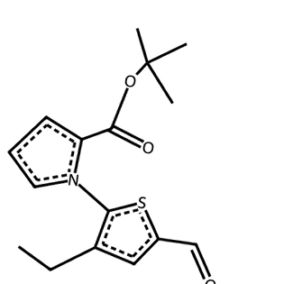 CCc1cc(C=O)sc1-n1cccc1C(=O)OC(C)(C)C